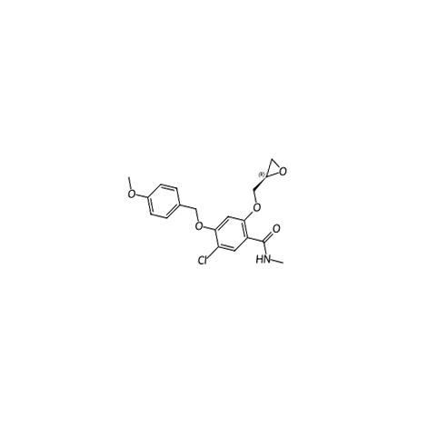 CNC(=O)c1cc(Cl)c(OCc2ccc(OC)cc2)cc1OC[C@H]1CO1